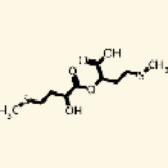 CSCCC(O)C(=O)OC(CCSC)C(=O)O